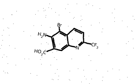 Nc1c(C(=O)O)cc2nc(C(F)(F)F)ccc2c1Br